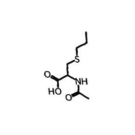 CCCSCC(NC(C)=O)C(=O)O